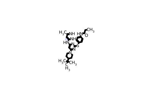 CCC(=O)Nc1ccc(Sc2nc(N/C(N)=C/C(C)=N)cc(N3CCC(C(C)(C)C)CC3)n2)cc1